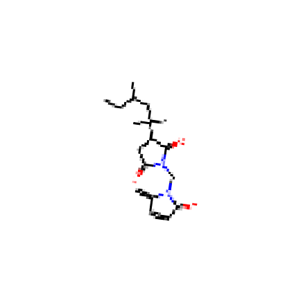 C=C1C=CC(=O)N1CN1C(=O)CC(C(C)(C)CC(C)CC)C1=O